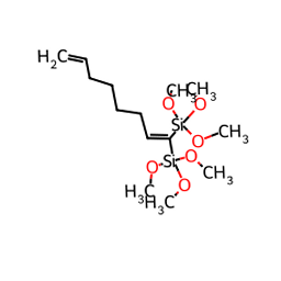 C=CCCCCC=C([Si](OC)(OC)OC)[Si](OC)(OC)OC